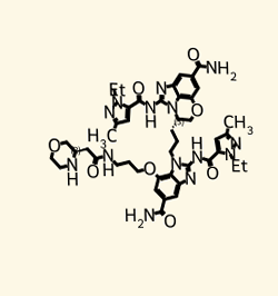 CCn1nc(C)cc1C(=O)Nc1nc2cc(C(N)=O)cc(OCCCNC(=O)C[C@@H]3COCCN3)c2n1CCC[C@H]1COc2cc(C(N)=O)cc3nc(NC(=O)c4cc(C)nn4CC)n1c23